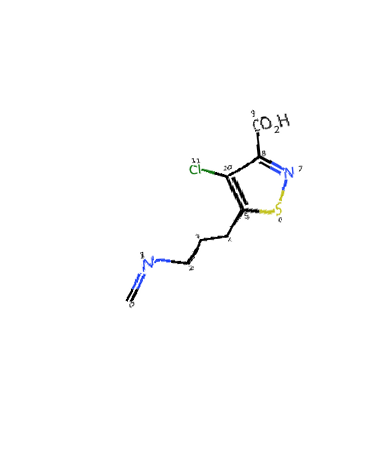 C=NCCCc1snc(C(=O)O)c1Cl